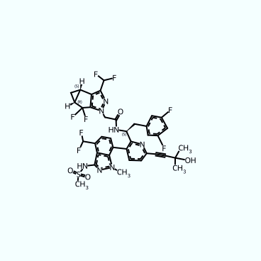 Cn1nc(NS(C)(=O)=O)c2c(C(F)F)ccc(-c3ccc(C#CC(C)(C)O)nc3[C@H](Cc3cc(F)cc(F)c3)NC(=O)Cn3nc(C(F)F)c4c3C(F)(F)[C@@H]3C[C@H]43)c21